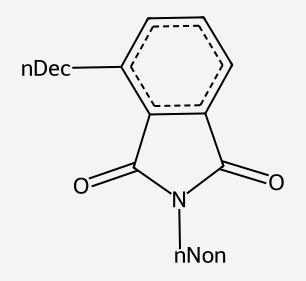 CCCCCCCCCCc1cccc2c1C(=O)N(CCCCCCCCC)C2=O